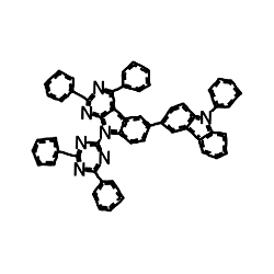 c1ccc(-c2nc(-c3ccccc3)nc(-n3c4ccc(-c5ccc6c(c5)c5ccccc5n6-c5ccccc5)cc4c4c(-c5ccccc5)nc(-c5ccccc5)nc43)n2)cc1